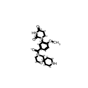 COc1ccc(C(=O)N2CCOC3(CCNCC3)C2)cc1N1CCC(=O)NC1=O